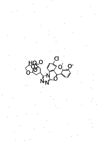 COc1cccc(C(=O)c2cc(Cl)ccc2-n2c(C)nnc2C(CC2OCCO2)CS(=O)(=O)O)c1OC